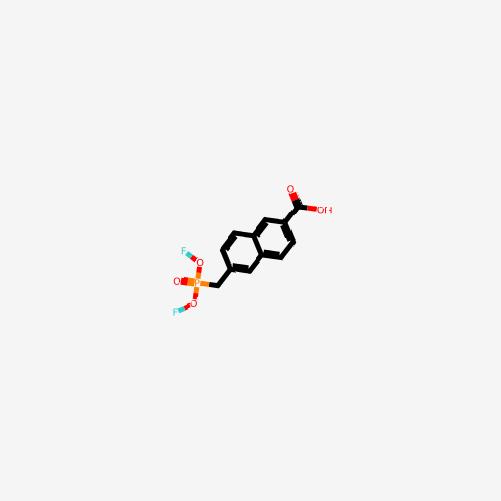 O=C(O)c1ccc2cc(CP(=O)(OF)OF)ccc2c1